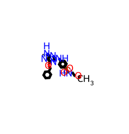 COCCNS(=O)(=O)c1ccc(Nc2nc(OCC3CCCCC3)c3nc[nH]c3n2)cc1